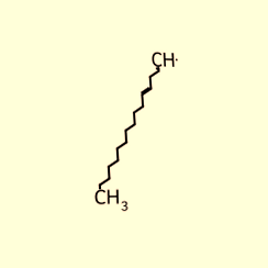 [CH]=CCC=CCCCCCCCCCCC